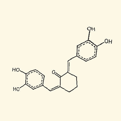 O=C1C(=Cc2ccc(O)c(O)c2)CCCC1=Cc1ccc(O)c(O)c1